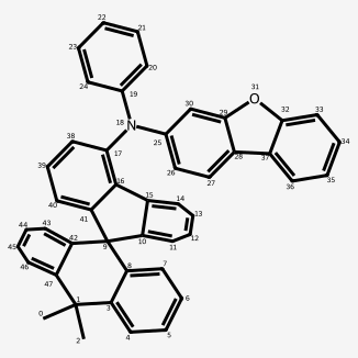 CC1(C)c2ccccc2C2(c3ccccc3-c3c(N(c4ccccc4)c4ccc5c(c4)oc4ccccc45)cccc32)c2ccccc21